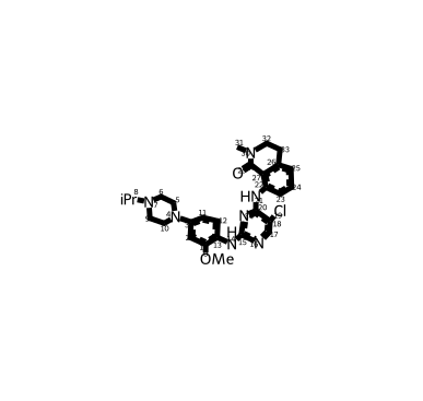 COc1cc(N2CCN(C(C)C)CC2)ccc1Nc1ncc(Cl)c(Nc2cccc3c2C(=O)N(C)CC3)n1